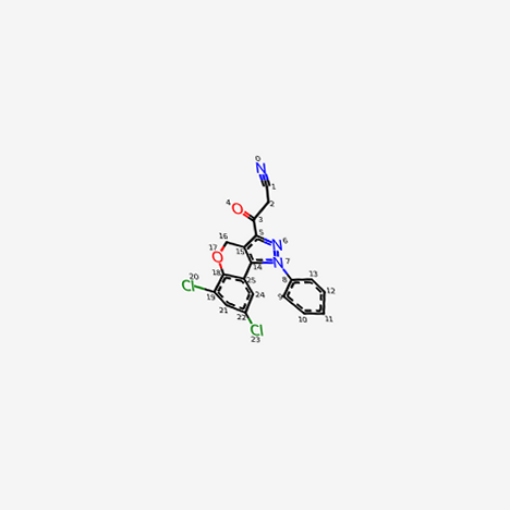 N#CCC(=O)c1nn(-c2ccccc2)c2c1COc1c(Cl)cc(Cl)cc1-2